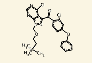 C[Si](C)(C)CCOCn1nc(C(=O)c2ccc(Oc3ccccc3)cc2Cl)c2c(Cl)ncnc21